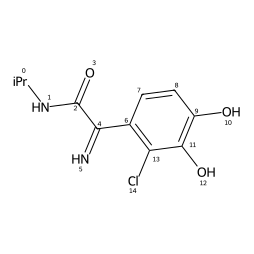 CC(C)NC(=O)C(=N)c1ccc(O)c(O)c1Cl